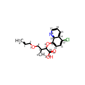 C=CCOCC(C)C(Oc1ccc(Cl)c2cccnc12)C(=O)O